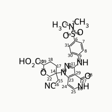 CN(C)S(=O)(=O)c1ccc(Nc2nn(C3(CC#N)CCC(C(=O)O)OC3)c3cc[nH]c(=O)c23)cc1